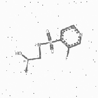 C[C@@H](O)CNS(=O)(=O)c1ccncc1F